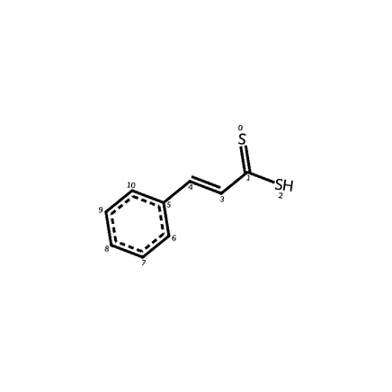 S=C(S)C=Cc1ccccc1